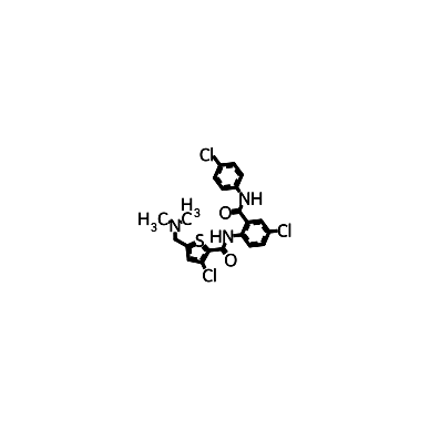 CN(C)Cc1cc(Cl)c(C(=O)Nc2ccc(Cl)cc2C(=O)Nc2ccc(Cl)cc2)s1